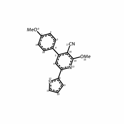 COc1ccc(-c2cc(-c3cccs3)nc(OC)c2C#N)cc1